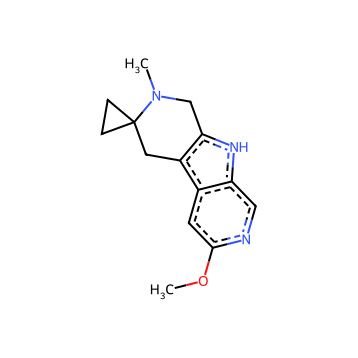 COc1cc2c3c([nH]c2cn1)CN(C)C1(CC1)C3